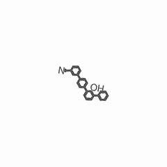 N#Cc1cccc(-c2ccc(-c3cccc(-c4ccccc4)c3O)cc2)c1